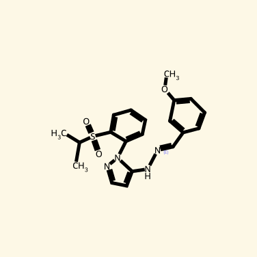 COc1cccc(/C=N/Nc2ccnn2-c2ccccc2S(=O)(=O)C(C)C)c1